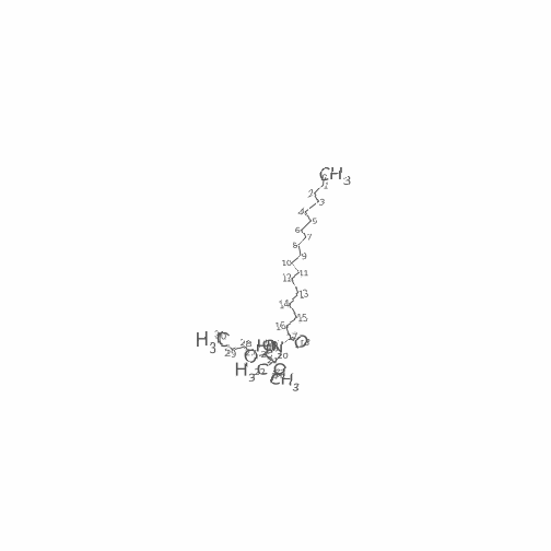 CCCCCCCCCCCCCCCCCC(=O)NCC(C)(OC)C(=O)OCCC